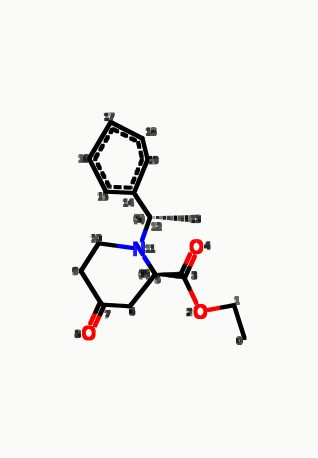 CCOC(=O)[C@H]1CC(=O)CCN1[C@@H](C)c1ccccc1